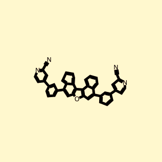 N#Cc1cc(-c2cccc(-c3cc4oc5cc(-c6cccc(-c7ccnc(C#N)c7)c6)c6ccccc6c5c4c4ccccc34)c2)ccn1